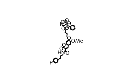 COc1cc2cc(C(=O)NCCCc3ccc(F)cc3)c(=O)oc2cc1OCCCCOc1no[n+]([O-])c1S(=O)(=O)c1ccccc1